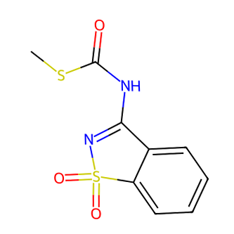 CSC(=O)NC1=NS(=O)(=O)c2ccccc21